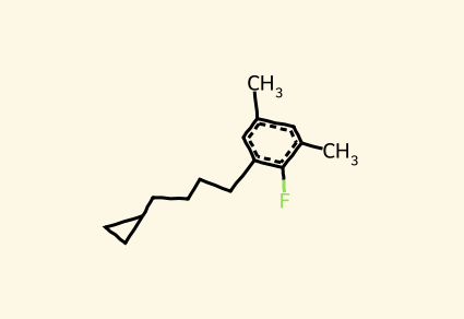 Cc1cc(C)c(F)c(CCCCC2CC2)c1